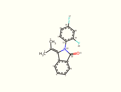 CC(C)=C1c2ccccc2C(=O)N1c1ccc(F)cc1F